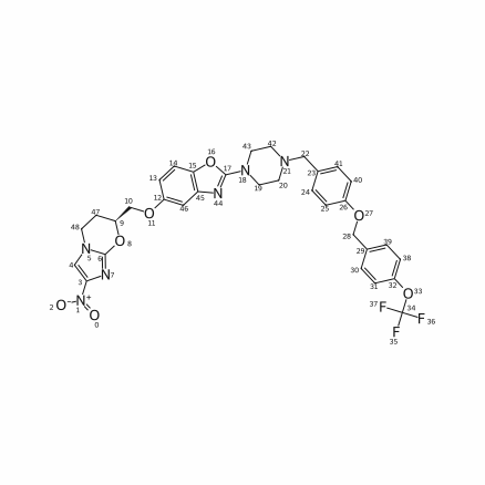 O=[N+]([O-])c1cn2c(n1)O[C@H](COc1ccc3oc(N4CCN(Cc5ccc(OCc6ccc(OC(F)(F)F)cc6)cc5)CC4)nc3c1)CC2